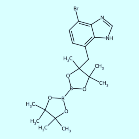 CC1(C)OB(B2OC(C)(C)C(C)(Cc3ccc(Br)c4nc[nH]c34)O2)OC1(C)C